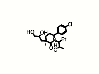 CCC(C(C)O)N1C(=O)[C@@](C)(CC(O)CO)CCC1c1ccc(Cl)cc1